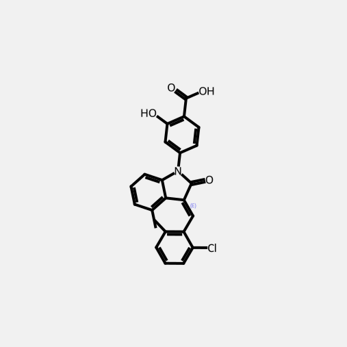 Cc1cccc(Cl)c1/C=C1/C(=O)N(c2ccc(C(=O)O)c(O)c2)c2cccc(C)c21